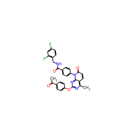 CC(=O)c1ccc(Oc2nc(C)c3ccc(=O)n(-c4ccc(C(=O)NCc5ccc(F)cc5F)cc4)c3n2)cc1